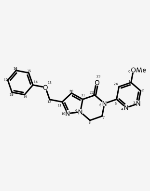 COc1cnnc(N2CCn3nc(COc4ccccc4)cc3C2=O)c1